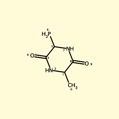 CC1NC(=O)C(P)NC1=O